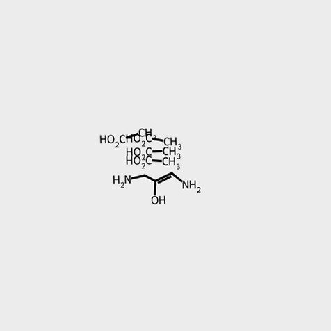 CC(=O)O.CC(=O)O.CC(=O)O.CC(=O)O.NC=C(O)CN